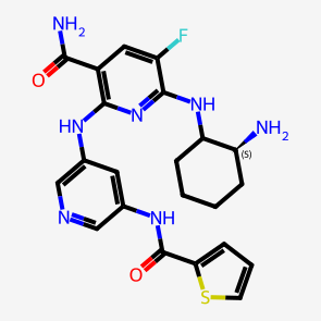 NC(=O)c1cc(F)c(NC2CCCC[C@@H]2N)nc1Nc1cncc(NC(=O)c2cccs2)c1